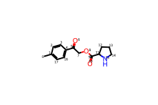 Cc1ccc(C(=O)COC(=O)C2CCCN2)cc1